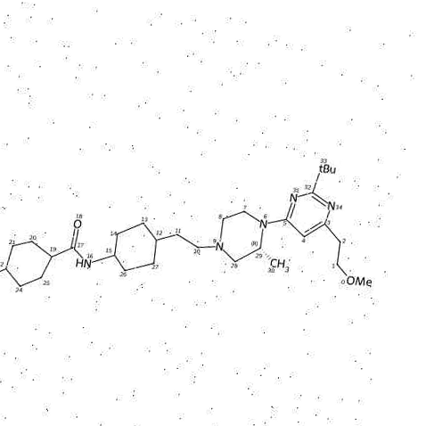 COCCc1cc(N2CCN(CCC3CCC(NC(=O)C4CCC(O)CC4)CC3)C[C@H]2C)nc(C(C)(C)C)n1